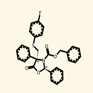 O=C(OCc1ccccc1)N1[C@@H](c2ccccc2)OC(=O)[C@@]1(CSc1ccc(F)cc1)c1ccccc1